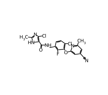 Cc1cc(C#N)cc(Oc2c(Cl)ccc(CNC(=O)c3[nH]c(C)nc3Cl)c2F)n1